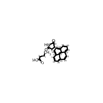 CCCC(=O)O.O=C1CCC(=O)N1.c1cc2ccc3cccc4ccc(c1)c2c34